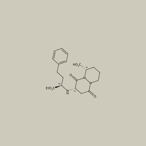 CCOC(=O)[C@@H](CCc1ccccc1)N[C@H]1CC(=O)N2CCC[C@@H](C(=O)O)N2C1=O